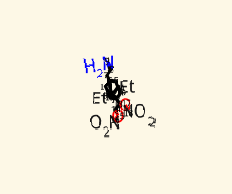 CCC12CC3(CC)CC(CCN)(C1)CC(C(CO[N+](=O)[O-])O[N+](=O)[O-])(C2)C3